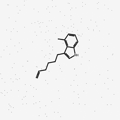 C=CCCCCc1c[nH]c2cccc(C)c12